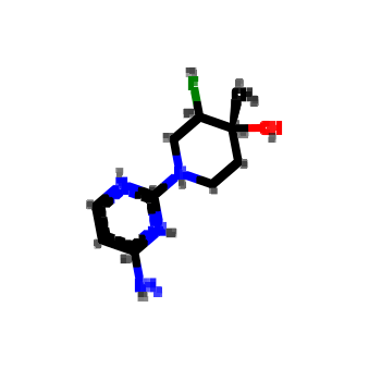 C[C@@]1(O)CCN(c2nccc(N)n2)CC1F